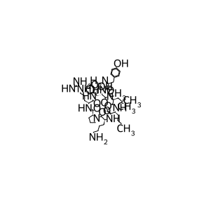 CCCC[C@H](NC(=O)[C@H](CC(C)C)N(C)C(=O)[C@H](Cc1ccccc1)NC(=O)[C@@H](N)Cc1ccc(O)cc1)C(=O)N[C@@H](CCCCN)C(=O)N1CCC[C@H]1C(=O)N[C@@H](CCCNC(=N)N)C(=O)NCC(=O)O